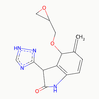 C=C1C=CC2=C(C1OCC1CO1)C(c1nc[nH]n1)C(=O)N2